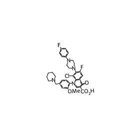 COc1cc(CN2CCCCC2)ccc1-n1cc(C(=O)O)c(=O)c2cc(F)c(N3CCN(c4ccc(F)cc4)CC3)c(Cl)c21